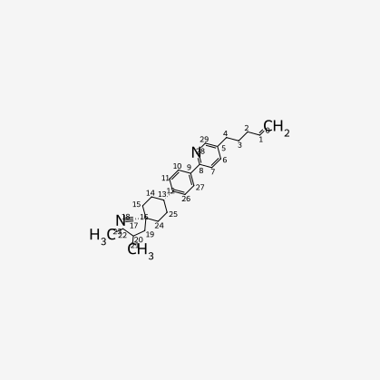 C=CCCCc1ccc(-c2ccc([C@H]3CC[C@](C#N)(CC(C)CC)CC3)cc2)nc1